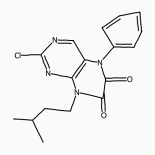 CC(C)CCn1c(=O)c(=O)n(-c2ccccc2)c2cnc(Cl)nc21